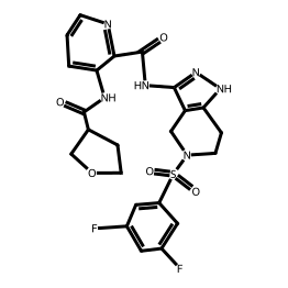 O=C(Nc1n[nH]c2c1CN(S(=O)(=O)c1cc(F)cc(F)c1)CC2)c1ncccc1NC(=O)C1CCOC1